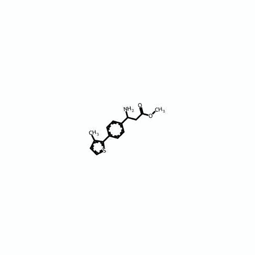 COC(=O)CC(N)c1ccc(-c2sccc2C)cc1